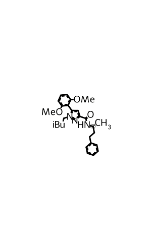 CCC(C)Cn1nc(C(=O)N[C@H](C)CCc2ccccc2)cc1-c1c(OC)cccc1OC